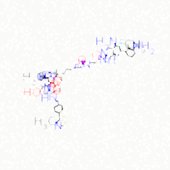 Cc1ncsc1-c1ccc(CNC(=O)[C@@H]2C[C@@H](O)CN2C(=O)[C@@H](NC(=O)CCCCCCC(=O)NCCC(=O)Nc2cc3cc(-c4cccc(N)c4C)c(F)c(N)c3cn2)C(C)(C)C)cc1